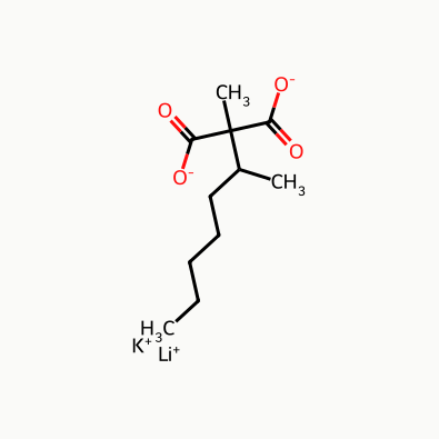 CCCCCC(C)C(C)(C(=O)[O-])C(=O)[O-].[K+].[Li+]